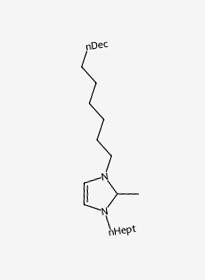 CCCCCCCCCCCCCCCCN1C=CN(CCCCCCC)C1C